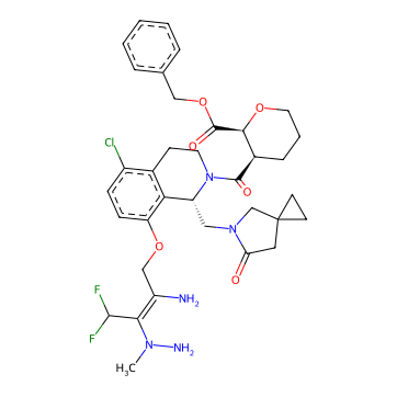 CN(N)/C(=C(\N)COc1ccc(Cl)c2c1[C@@H](CN1CC3(CC3)CC1=O)N(C(=O)[C@@H]1CCCO[C@@H]1C(=O)OCc1ccccc1)CC2)C(F)F